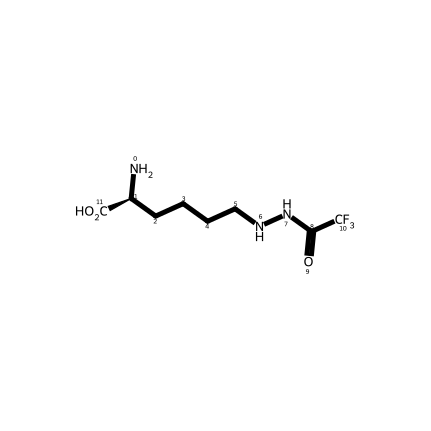 N[C@@H](CCCCNNC(=O)C(F)(F)F)C(=O)O